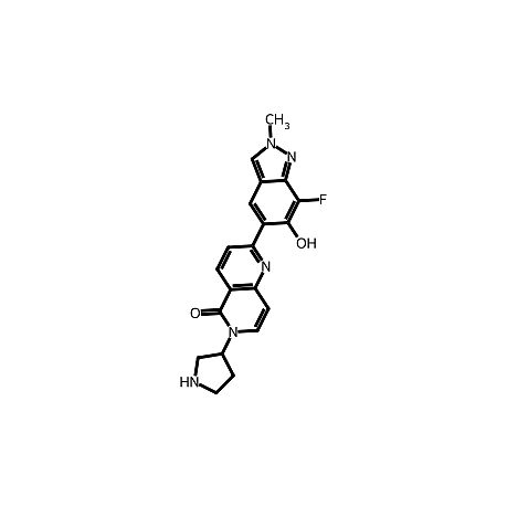 Cn1cc2cc(-c3ccc4c(=O)n(C5CCNC5)ccc4n3)c(O)c(F)c2n1